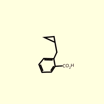 O=C(O)c1ccccc1CC1CC1